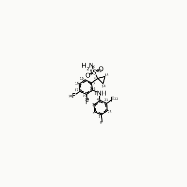 Cc1ccc(Nc2c(C3(S(N)(=O)=O)CC3)ccc(F)c2F)c(F)c1